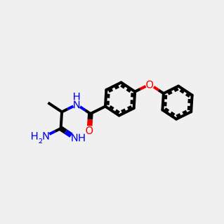 CC(NC(=O)c1ccc(Oc2ccccc2)cc1)C(=N)N